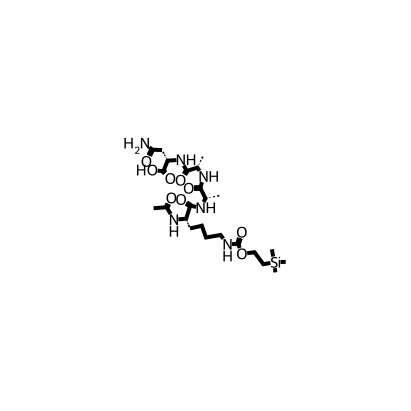 CC(=O)N[C@@H](CCCCNC(=O)OCC[Si](C)(C)C)C(=O)N[C@@H](C)C(=O)N[C@@H](C)C(=O)N[C@@H](CC(N)=O)C(=O)O